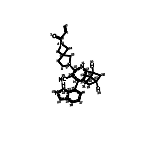 C=CC(=O)N1CC2(CCN(c3nc4c(c(-c5cccc6cn[nH]c56)c3C#N)C[C@H]3C[C@@H]4C3(C)C)C2)C1